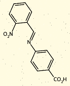 O=C(O)c1ccc(N=Cc2ccccc2[N+](=O)[O-])cc1